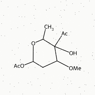 COC1CC(OC(C)=O)OC(C)C1(O)C(C)=O